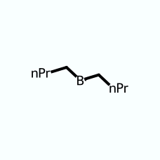 CCCC[B]CCCC